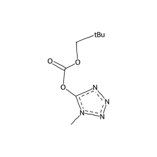 Cn1nnnc1OC(=O)OCC(C)(C)C